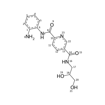 Nc1ccccc1NC(=O)c1ccc(C(=O)NCC(O)CO)cn1